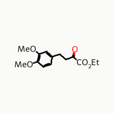 CCOC(=O)C(=O)CCc1ccc(OC)c(OC)c1